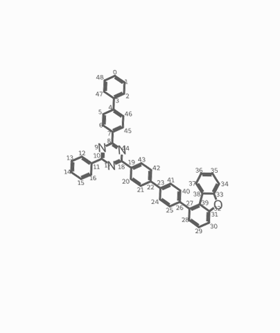 c1ccc(-c2ccc(-c3nc(-c4ccccc4)nc(-c4ccc(-c5ccc(-c6cccc7oc8ccccc8c67)cc5)cc4)n3)cc2)cc1